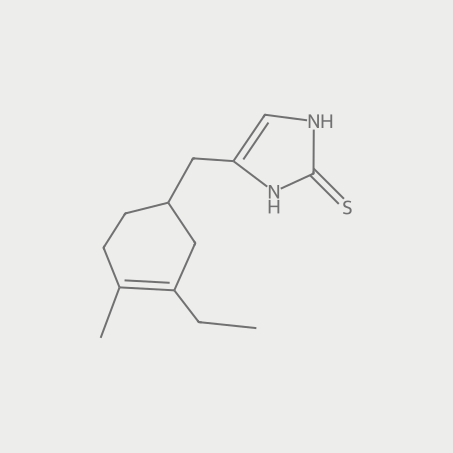 CCC1=C(C)CCC(Cc2c[nH]c(=S)[nH]2)C1